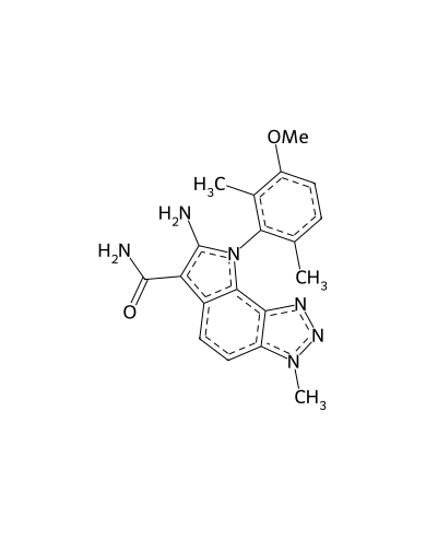 COc1ccc(C)c(-n2c(N)c(C(N)=O)c3ccc4c(nnn4C)c32)c1C